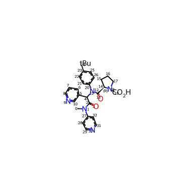 CN(C(=O)C(c1cccnc1)N(C(=O)[C@H]1CCCN1C(=O)O)c1ccc(C(C)(C)C)cc1)c1ccncc1